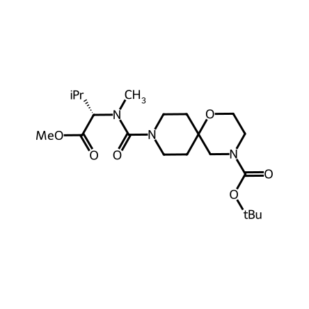 COC(=O)[C@H](C(C)C)N(C)C(=O)N1CCC2(CC1)CN(C(=O)OC(C)(C)C)CCO2